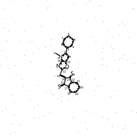 Cn1c(-c2ccccc2)cc2oc(C=C3C(=S)c4ccccc4C3=S)nc21